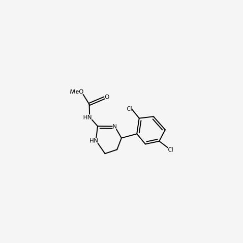 COC(=O)NC1=NC(c2cc(Cl)ccc2Cl)CCN1